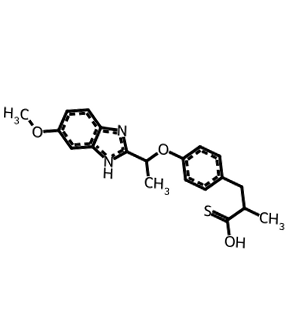 COc1ccc2nc(C(C)Oc3ccc(CC(C)C(O)=S)cc3)[nH]c2c1